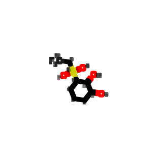 O=C1CCCC(S(=O)(=O)CC(F)(F)F)C1=O